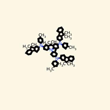 Cc1ccc(N(c2ccc3c(c2)C(C)(C)c2ccccc2-3)c2ccc3c(c2)C(C)(C)c2cc(N(c4ccc(C)cc4)c4ccc5c(c4)C(C)(C)c4ccccc4-5)cc4c5cc(N(c6ccc(C)cc6)c6ccc7c(c6)C(C)(C)c6ccccc6-7)ccc5n-3c24)cc1